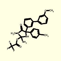 COc1cccc(-c2cccc(C3(c4ccc(C)cc4)NC(N)(OC(=O)C(F)(F)F)N(C)C3=O)c2)c1